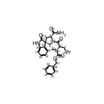 CC(C)CC(C(=O)N1C[C@]2(C[C@H]1C(N)=O)C(=O)Nc1ccccc12)N(C)C(=O)OCc1ccccc1